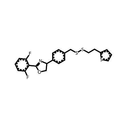 Fc1cccc(F)c1C1=NC(c2ccc(CSSCCc3cccs3)cc2)CO1